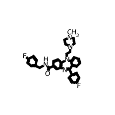 CN1CCN(CCN2c3ccc(C(=O)NCc4ccc(F)cc4)cc3N=C(c3ccc(F)cc3)c3ccccc32)CC1